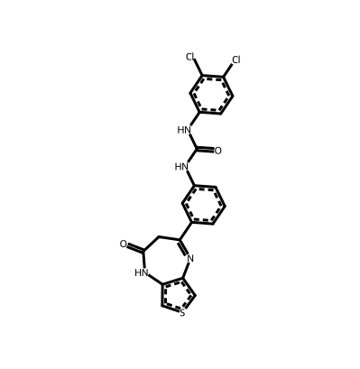 O=C1CC(c2cccc(NC(=O)Nc3ccc(Cl)c(Cl)c3)c2)=Nc2cscc2N1